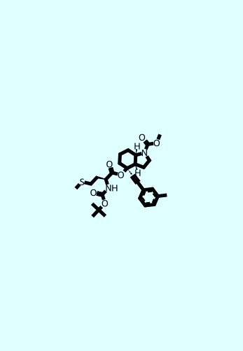 COC(=O)N1CC[C@@H]2[C@H]1CCC[C@]2(C#Cc1cccc(C)c1)OC(=O)[C@H](CCSC)NC(=O)OC(C)(C)C